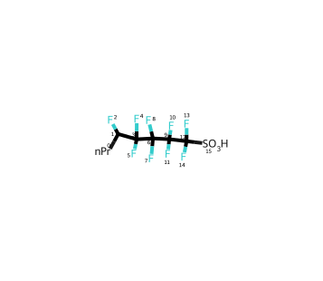 CCCC(F)C(F)(F)C(F)(F)C(F)(F)C(F)(F)S(=O)(=O)O